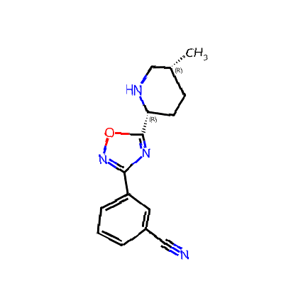 C[C@@H]1CC[C@H](c2nc(-c3cccc(C#N)c3)no2)NC1